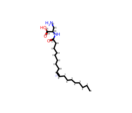 CCCCCCCC/C=C\CCCCCCCC(=O)NC(CN)C(=O)O